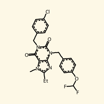 CCc1nc2c(c(=O)n(Cc3ccc(Cl)cc3)c(=O)n2Cc2ccc(OC(F)F)cc2)n1C